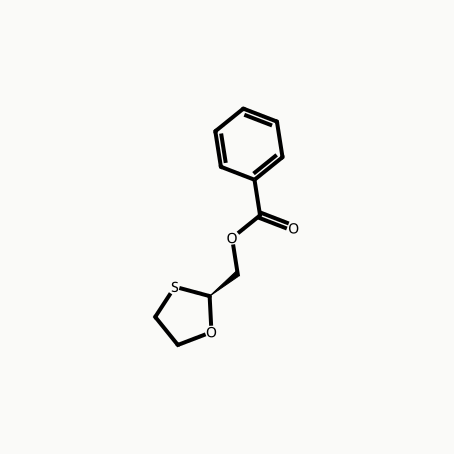 O=C(OC[C@H]1OCCS1)c1ccccc1